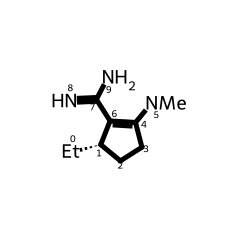 CC[C@H]1CCC(NC)=C1C(=N)N